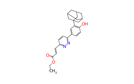 CCOC(=O)/C=C/c1ccc(-c2ccc(O)c(C34CC5CC(CC(C5)C3)C4)c2)nn1